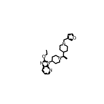 C=C(C1CCN(Cc2ccoc2)CC1)N1CCC(n2c(OCC)nc3cccnc32)CC1